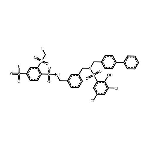 O=S(=O)(F)c1ccc(S(=O)(=O)NCc2cccc(CN(Cc3ccc(-c4ccccc4)cc3)S(=O)(=O)c3cc(Cl)cc(Cl)c3O)c2)c(S(=O)(=O)CF)c1